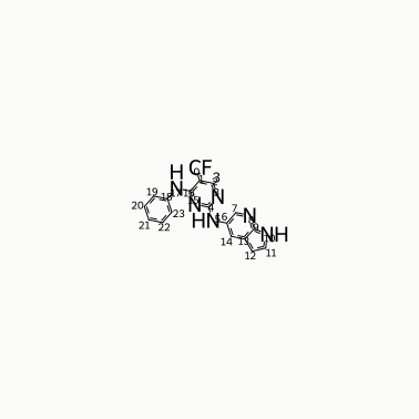 FC(F)(F)c1cnc(Nc2cnc3[nH]ccc3c2)nc1Nc1ccccc1